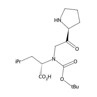 CC(C)C[C@@H](C(=O)O)N(CC(=O)[C@@H]1CCCN1)C(=O)OC(C)(C)C